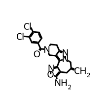 C=C1Cc2c(noc2N)-c2c3c(nn2C1)CCN(C(=O)c1ccc(Cl)c(Cl)c1)C3